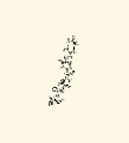 CCCCCCCCCCCCC(=O)Oc1ccc(C(=O)Oc2ccc(OCc3ccccc3)cc2)cc1